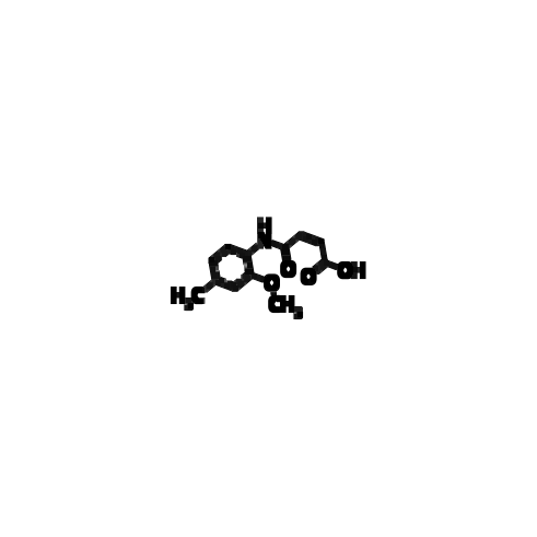 COc1cc(C)ccc1NC(=O)/C=C\C(=O)O